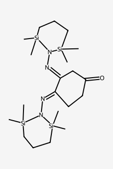 C[Si]1(C)CCC[Si](C)(C)N1N=C1CCC(=O)CC1=NN1[Si](C)(C)CCC[Si]1(C)C